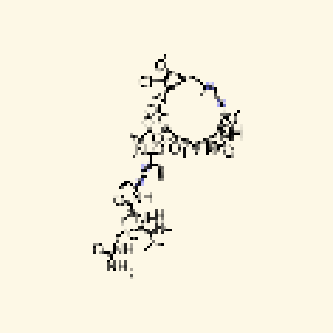 C=C/C(=C\C=C(/C=C)C(=O)N(C)[C@@H](C)C(=O)O[C@H]1CC(=O)N(C)c2cc(cc(OC)c2Cl)C/C(C)=C/C=C/[C@@H](OC)[C@@]2(O)C[C@H](OC(=O)N2)[C@@H](C)[C@@H]2O[C@@]12C)NC(=O)[C@H](CCCNC(N)=O)NC(=O)[C@@H](NC)C(C)C